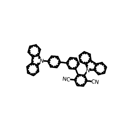 N#Cc1ccc(C#N)c(-n2c3ccccc3c3ccccc32)c1-c1cccc(-c2ccc(-n3c4ccccc4c4ccccc43)cc2)c1